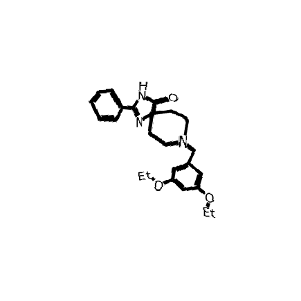 CCOc1cc(CN2CCC3(CC2)N=C(c2ccccc2)NC3=O)cc(OCC)c1